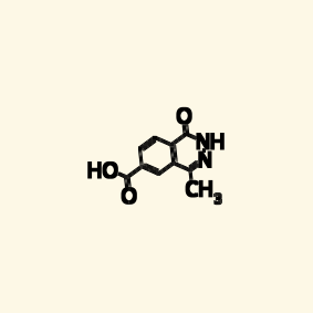 Cc1n[nH]c(=O)c2ccc(C(=O)O)cc12